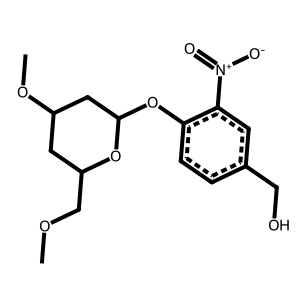 COCC1CC(OC)CC(Oc2ccc(CO)cc2[N+](=O)[O-])O1